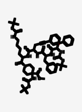 COC(=O)C1(NC(=O)OC(C)(C)C)CCN(C(=O)C(CCCCNC(=O)OC(C)(C)C)NC(=O)C(CC#Cc2ccccc2)NC(=O)C(Cc2ccccc2)NC(=O)C(Cc2ccccc2)NC(=O)OC(C)(C)C)CC1